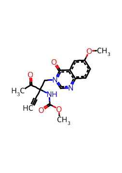 C#CC(Cn1cnc2ccc(OC)cc2c1=O)(NC(=O)OC)C(C)=O